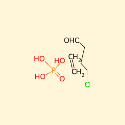 C=C.O=CCCCCl.O=P(O)(O)O